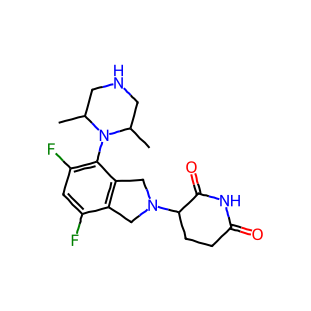 CC1CNCC(C)N1c1c(F)cc(F)c2c1CN(C1CCC(=O)NC1=O)C2